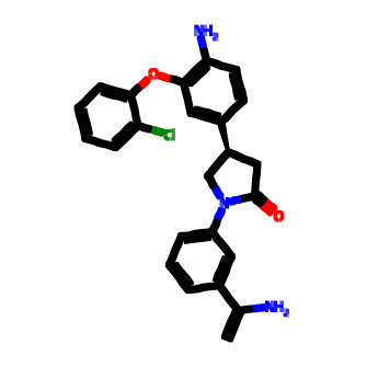 C=C(N)c1cccc(N2C[C@@H](c3ccc(N)c(Oc4ccccc4Cl)c3)CC2=O)c1